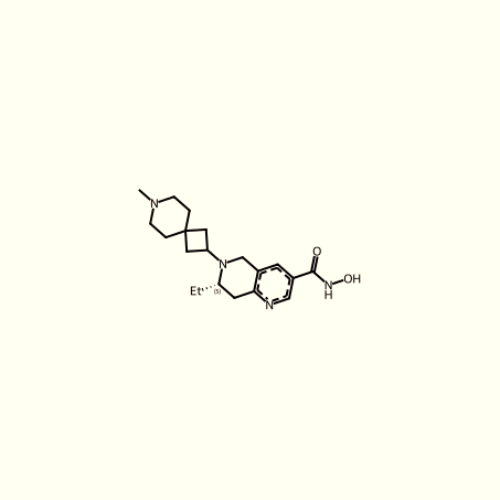 CC[C@H]1Cc2ncc(C(=O)NO)cc2CN1C1CC2(CCN(C)CC2)C1